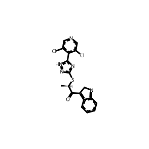 C[C@@H](Sc1n[nH]c(-c2c(Cl)cncc2Cl)n1)C(=O)C1=c2ccccc2=NC1